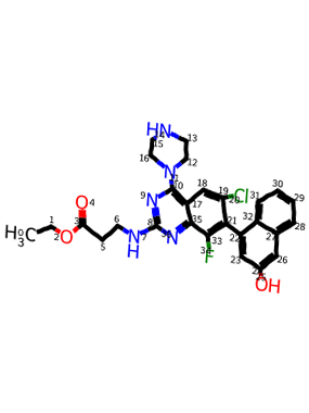 CCOC(=O)CCNc1nc(N2CCNCC2)c2cc(Cl)c(-c3cc(O)cc4ccccc34)c(F)c2n1